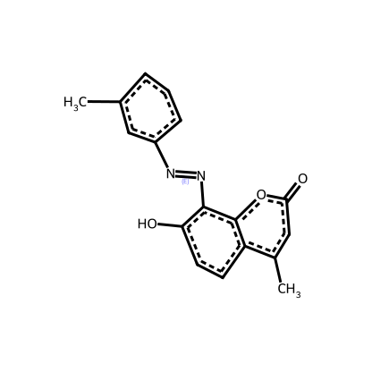 Cc1cccc(/N=N/c2c(O)ccc3c(C)cc(=O)oc23)c1